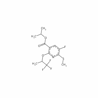 CSc1nc(OC(C)C(F)(F)F)c(C(=O)OC(C)C)cc1F